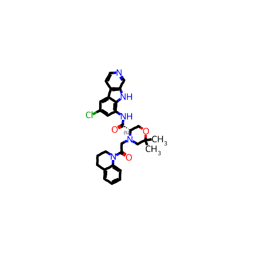 CC1(C)CN(CC(=O)N2CCCc3ccccc32)[C@H](C(=O)Nc2cc(Cl)cc3c2[nH]c2cnccc23)CO1